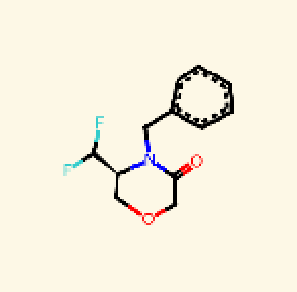 O=C1COC[C@@H](C(F)F)N1Cc1ccccc1